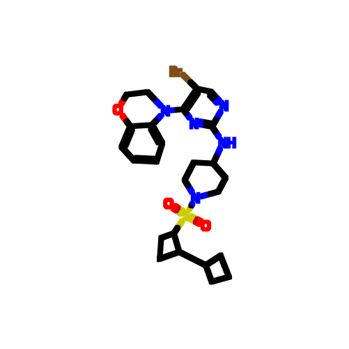 O=S(=O)(C1CCC1C1CCC1)N1CCC(Nc2ncc(Br)c(N3CCOc4ccccc43)n2)CC1